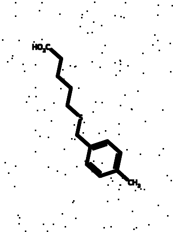 Cc1ccc(CSCCCCC(=O)O)cc1